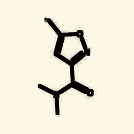 [CH]c1cc(C(=O)N(C)C)no1